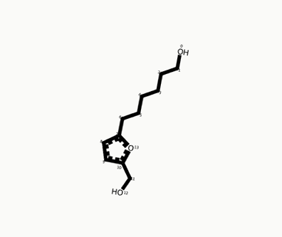 OCCCCCCc1ccc(CO)o1